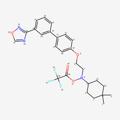 CC1(C)CCC(N(CCOc2ccc(-c3cccc(-c4ncon4)c3)cc2)OC(=O)C(F)(F)F)CC1